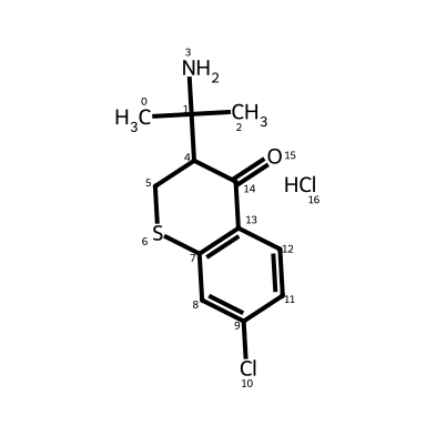 CC(C)(N)C1CSc2cc(Cl)ccc2C1=O.Cl